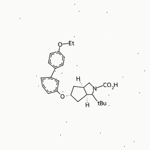 CCOc1ccc(-c2cccc(O[C@@H]3C[C@H]4CN(C(=O)O)C(C(C)(C)C)[C@H]4C3)c2)cc1